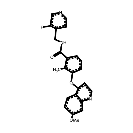 COc1ccc2c(Oc3cccc(C(=O)NCc4ccncc4F)c3C)ccnc2c1